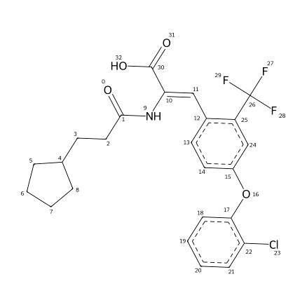 O=C(CCC1CCCC1)NC(=Cc1ccc(Oc2ccccc2Cl)cc1C(F)(F)F)C(=O)O